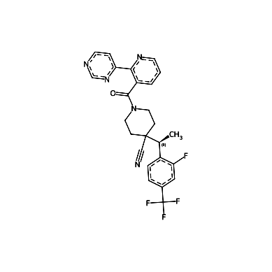 C[C@@H](c1ccc(C(F)(F)F)cc1F)C1(C#N)CCN(C(=O)c2cccnc2-c2ccncn2)CC1